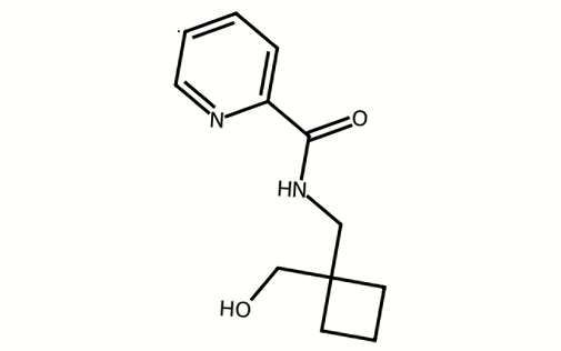 O=C(NCC1(CO)CCC1)c1cc[c]cn1